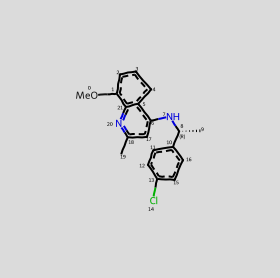 COc1cccc2c(N[C@H](C)c3ccc(Cl)cc3)cc(C)nc12